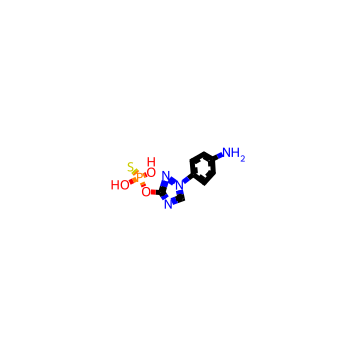 Nc1ccc(-n2cnc(OP(O)(O)=S)n2)cc1